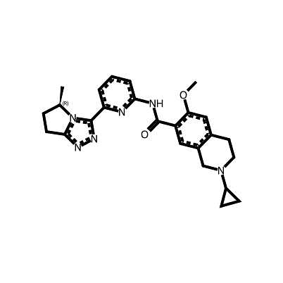 COc1cc2c(cc1C(=O)Nc1cccc(-c3nnc4n3[C@H](C)CC4)n1)CN(C1CC1)CC2